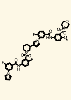 COc1ccc(NC(=O)c2ccc(F)c(-n3ccc(C4CCCN(S(=O)(=O)c5cc(NC(=O)c6cc(F)cc(-n7cccc7)c6)ccc5F)C4)c3)c2)cc1S(=O)(=O)N1CCOCC1